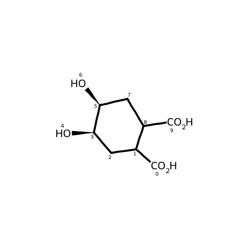 O=C(O)C1C[C@@H](O)[C@@H](O)CC1C(=O)O